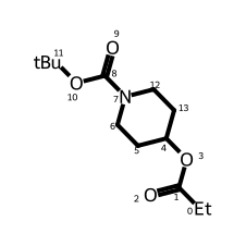 CCC(=O)OC1CCN(C(=O)OC(C)(C)C)CC1